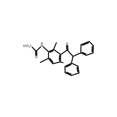 CCOC(=O)C(=O)Nc1c(C)cc(C)c(C(=O)C(c2ccccc2)c2ccccc2)c1C